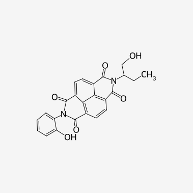 CCC(CO)N1C(=O)c2ccc3c4c(ccc(c24)C1=O)C(=O)N(c1ccccc1O)C3=O